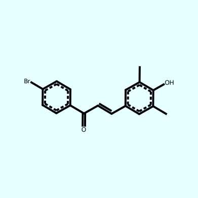 Cc1cc(C=CC(=O)c2ccc(Br)cc2)cc(C)c1O